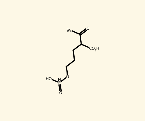 CC(C)C(=O)C(CCCO[PH](=O)O)C(=O)O